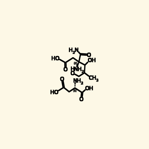 CC(CO)C(O)[C@](N)(CC(=O)O)C(N)=O.N[C@@H](CC(=O)O)C(=O)O